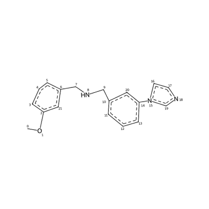 COc1cccc(CNCc2cccc(-n3ccnc3)c2)c1